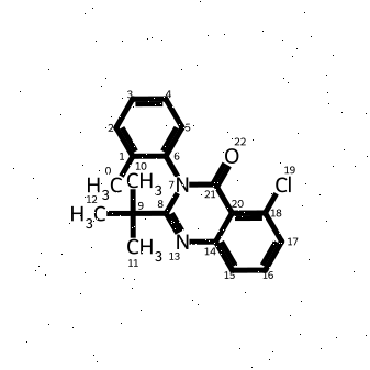 Cc1ccccc1-n1c(C(C)(C)C)nc2cccc(Cl)c2c1=O